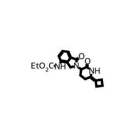 CCOC(=O)Nc1cccc2c1CN(C1CCC(=C3CCC3)NC1=O)C2=O